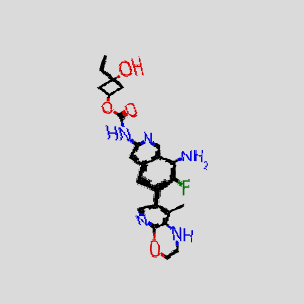 CCC1(O)CC(OC(=O)Nc2cc3cc(-c4cnc5c(c4C)NCCO5)c(F)c(N)c3cn2)C1